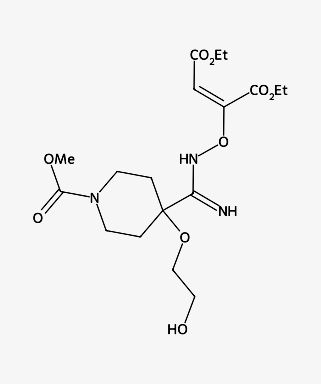 CCOC(=O)C=C(ONC(=N)C1(OCCO)CCN(C(=O)OC)CC1)C(=O)OCC